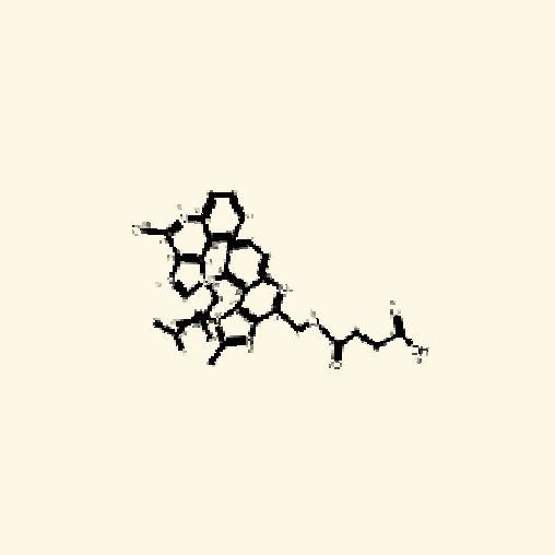 Cc1nc2c(COC(=O)CCC(=O)O)nc3cccc([N+]4(CC(C)C)C=Nc5c(Cl)nc6ccccc6c54)c3c2n1CC(C)C